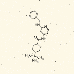 CC(C)(N)C1CCC(C(=O)Nc2ccnc(NCc3ccccc3)c2)CC1